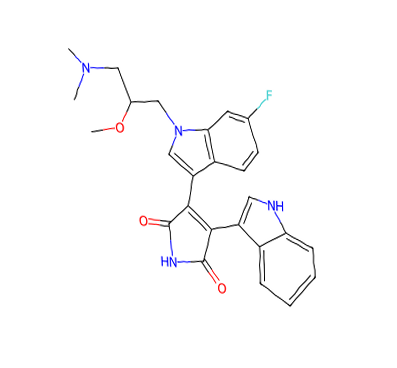 COC(CN(C)C)Cn1cc(C2=C(c3c[nH]c4ccccc34)C(=O)NC2=O)c2ccc(F)cc21